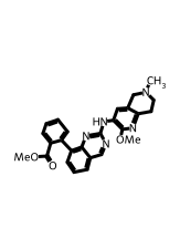 COC(=O)c1ccccc1-c1cccc2cnc(Nc3cc4c(nc3OC)CCN(C)C4)nc12